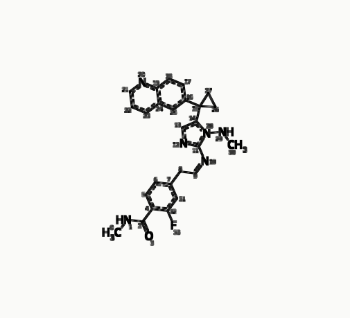 CNC(=O)c1ccc(C/C=N\c2ncc(C3(c4ccc5ncccc5c4)CC3)n2NC)cc1F